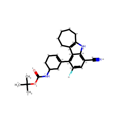 CC(C)(C)OC(=O)NC1CCC=C(c2c(F)cc(C#N)c3[nH]c4c(c23)CCCCC4)C1